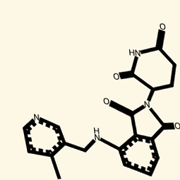 Cc1ccncc1CNc1cccc2c1C(=O)N(C1CCC(=O)NC1=O)C2=O